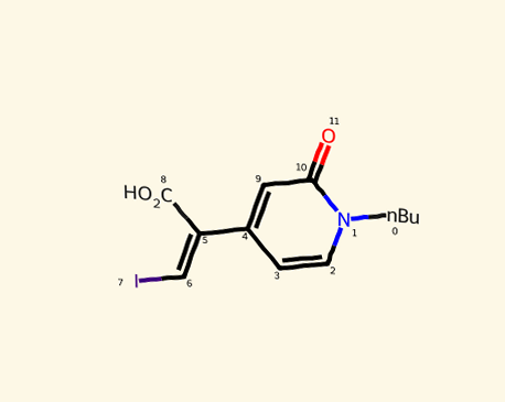 CCCCn1ccc(C(=CI)C(=O)O)cc1=O